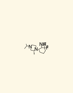 CC(C)N1CCN([C@H]2CCCC(F)(F)[C@@H]2N)[C@@H](C)C1